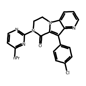 CCCc1ccnc(N2CCn3c(c(-c4ccc(Cl)cc4)c4ncccc43)C2=O)n1